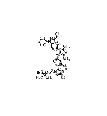 C=Cc1nn(C2CCCCO2)c2cnc(-c3c(C)nn(C)c3O[C@H](C)CN(CC)Cc3c(I)c(CC)nn3CCO[Si](C)(C)C(C)(C)C)cc12